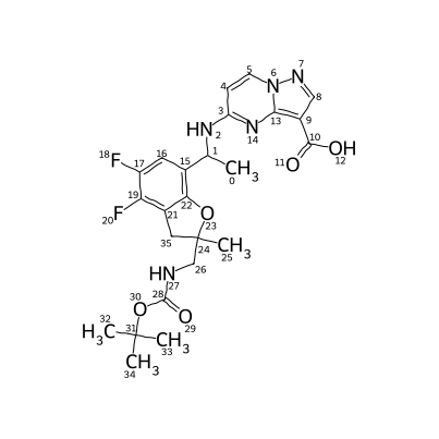 CC(Nc1ccn2ncc(C(=O)O)c2n1)c1cc(F)c(F)c2c1OC(C)(CNC(=O)OC(C)(C)C)C2